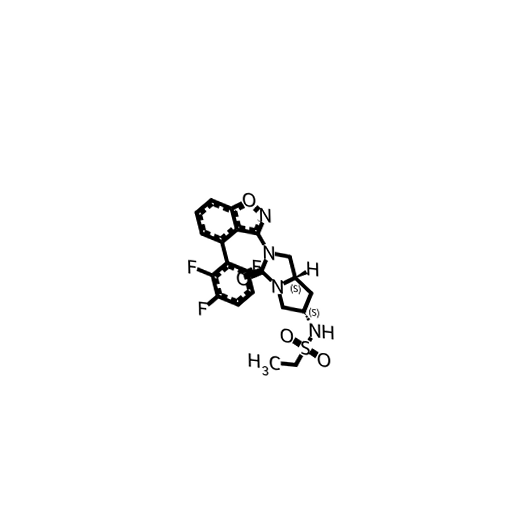 CCS(=O)(=O)N[C@H]1C[C@H]2CN(c3noc4cccc(-c5c(F)ccc(F)c5F)c34)C(=O)N2C1